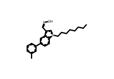 CCCCCCCCn1cc(/C=N\O)c2cc(-c3cccc(C)c3)ccc21